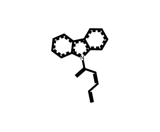 C=C/C=C\C(=C)n1c2ccccc2c2ccccc21